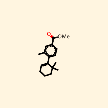 COC(=O)c1ccc(C2=CCCCC2(C)C)c(C)c1